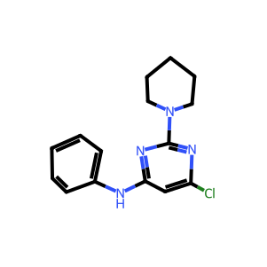 Clc1cc(Nc2ccccc2)nc(N2CCCCC2)n1